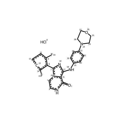 Cl.O=c1[nH]ccn2c(-c3c(F)cccc3F)nc(Nc3ccc(N4CCOCC4)cc3)c12